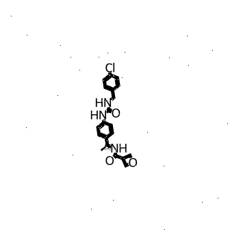 C[C@H](NC(=O)C1COC1)c1ccc(NC(=O)NCc2ccc(Cl)cc2)cc1